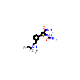 CC(C)CC(NCCc1cccc(-c2cc(C(N)=O)c(NC(N)=O)s2)c1)C(=O)O